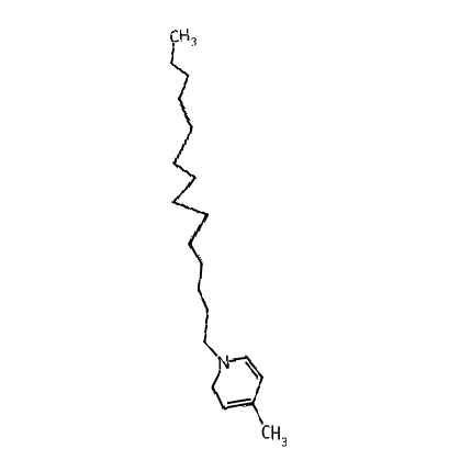 CCCCCCCCCCCCCCN1C=CC(C)=CC1